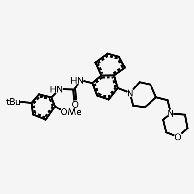 COc1ccc(C(C)(C)C)cc1NC(=O)Nc1ccc(N2CCC(CN3CCOCC3)CC2)c2ccccc12